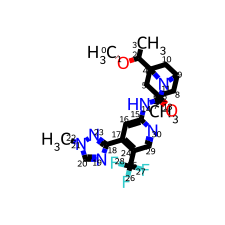 COC(C)C12CC(C)CC(C1)N2C(=O)Nc1cc(-c2ncn(C)n2)c(C(F)(F)F)cn1